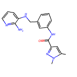 Cc1cc(C(=O)Nc2cccc(CNc3cccnc3N)c2)nn1C